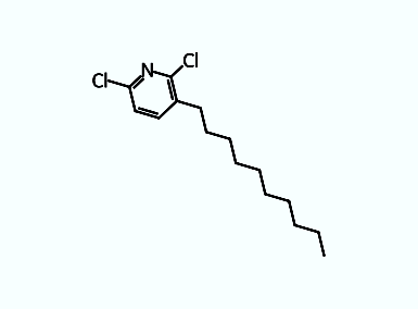 CCCCCCCCCCc1ccc(Cl)nc1Cl